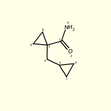 NC(=O)C1(CC2CC2)CC1